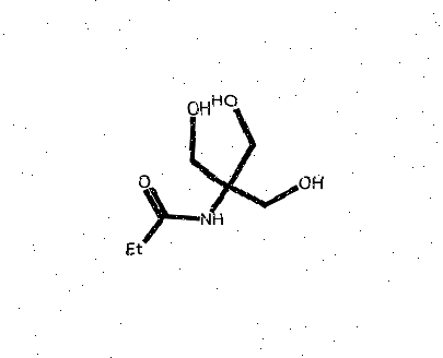 CCC(=O)NC(CO)(CO)CO